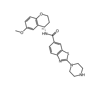 COc1ccc2c(c1)[C@@H](NC(=O)c1ccc3nc(N4CCNCC4)sc3c1)CCO2